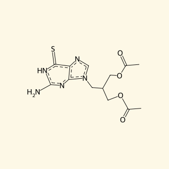 CC(=O)OCC(COC(C)=O)Cn1cnc2c(=S)[nH]c(N)nc21